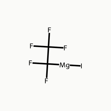 FC(F)(F)[C](F)(F)[Mg][I]